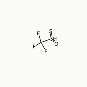 O=[SH](=S)C(F)(F)F